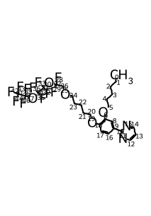 CCCCCCOc1cc(-c2ncccn2)ccc1OCCCCCOCC(F)(F)OC(F)(F)C(F)(F)OC(F)(F)C(F)(F)F